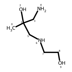 CC(O)(CN)CNCCO